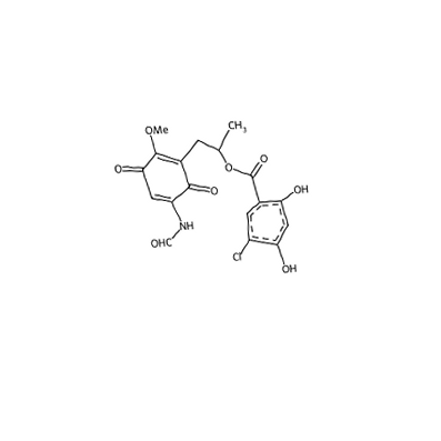 COC1=C(CC(C)OC(=O)c2cc(Cl)c(O)cc2O)C(=O)C(NC=O)=CC1=O